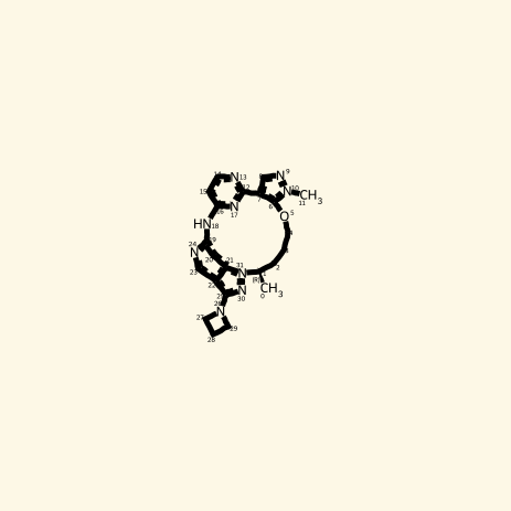 C[C@@H]1CCCOc2c(cnn2C)-c2nccc(n2)Nc2cc3c(cn2)c(N2CCC2)nn31